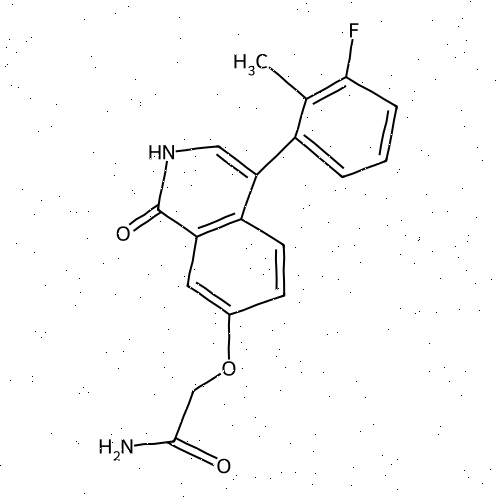 Cc1c(F)cccc1-c1c[nH]c(=O)c2cc(OCC(N)=O)ccc12